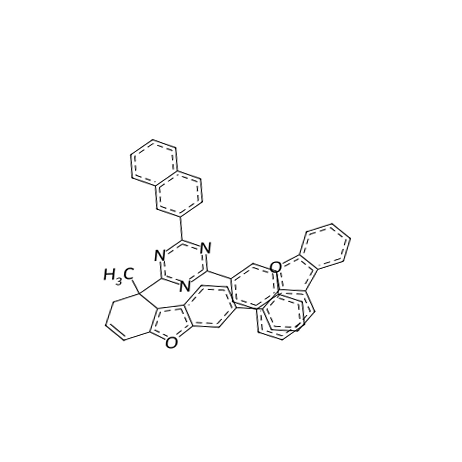 CC1(c2nc(-c3ccc4ccccc4c3)nc(-c3ccc4ccccc4c3)n2)CC=Cc2oc3cc(-c4cccc5c4oc4ccccc45)ccc3c21